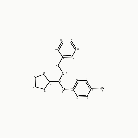 CCC(C)c1ccc(OC(OCc2ccccc2)C2CCCC2)cc1